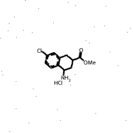 COC(=O)C1Cc2cc(Cl)ccc2C(N)C1.Cl